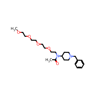 COCCOCCOCCOCCN(C(C)=O)C1CCN(Cc2ccccc2)CC1